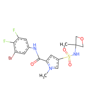 Cn1cc(S(=O)(=O)NC2(C)COC2)cc1C(=O)Nc1cc(F)c(F)c(Br)c1